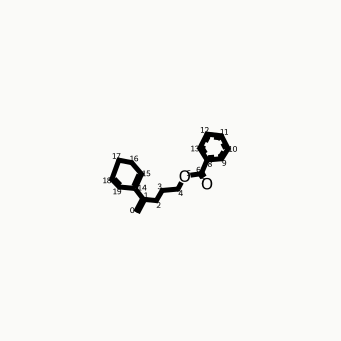 C=C(CCCOC(=O)c1ccccc1)C1=CCCC=C1